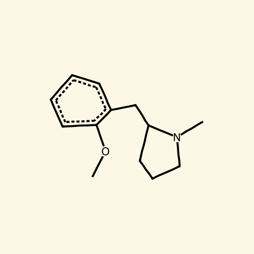 COc1ccccc1CC1CCCN1C